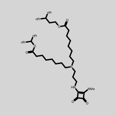 CCCC(CCC)CCOC(=O)CCCCCCCN(CCCCCCCC(=O)OC(CCC)CCC)CCCNc1c(NC)c(=O)c1=O